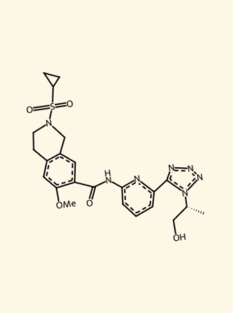 COc1cc2c(cc1C(=O)Nc1cccc(-c3nnnn3[C@H](C)CO)n1)CN(S(=O)(=O)C1CC1)CC2